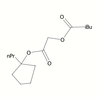 CCCC1(OC(=O)COC(=O)C(C)CC)CCCC1